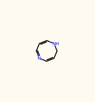 C1=C/NC\C=C/N=C\1